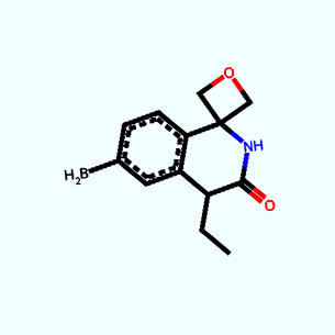 Bc1ccc2c(c1)C(CC)C(=O)NC21COC1